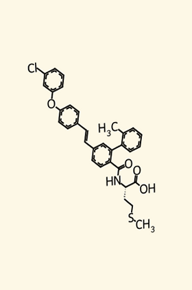 CSCC[C@H](NC(=O)c1ccc(C=Cc2ccc(Oc3cccc(Cl)c3)cc2)cc1-c1ccccc1C)C(=O)O